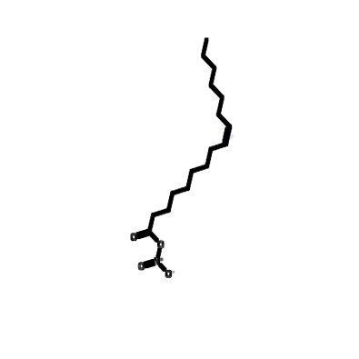 CCCCCC/C=C\CCCCCCCC(=O)O[N+](=O)[O-]